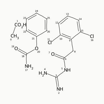 CC(=O)O.N=C(N)NC(=O)Cc1c(Cl)cccc1Cl.NC(=O)Oc1ccccc1